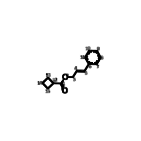 O=C(OC/C=C/c1ccccc1)C1CCC1